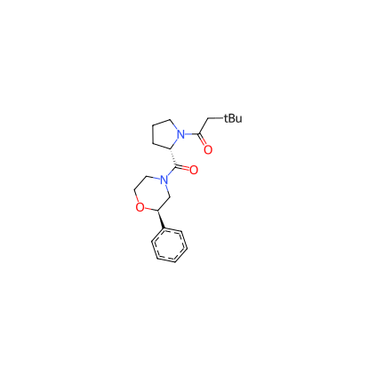 CC(C)(C)CC(=O)N1CCC[C@H]1C(=O)N1CCO[C@H](c2ccccc2)C1